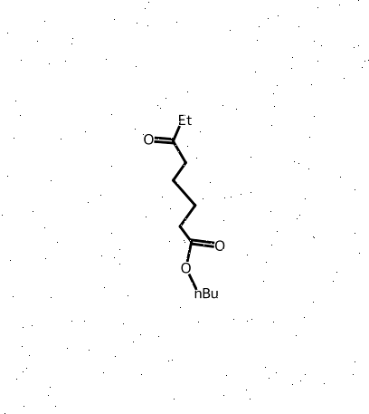 CCCCOC(=O)CCCCC(=O)CC